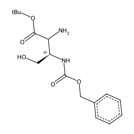 CC(C)(C)OC(=O)C(N)[C@H](CO)NC(=O)OCc1ccccc1